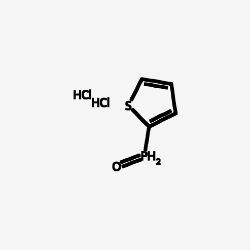 Cl.Cl.O=[PH2]c1cccs1